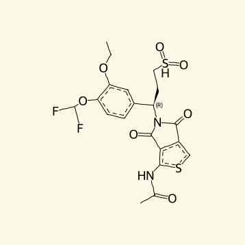 CCOc1cc([C@@H](CC[SH](=O)=O)N2C(=O)c3csc(NC(C)=O)c3C2=O)ccc1OC(F)F